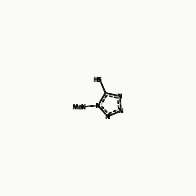 CNn1nnnc1S